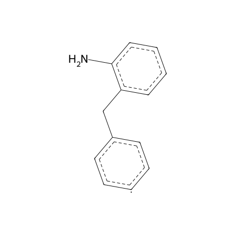 Nc1ccccc1Cc1cc[c]cc1